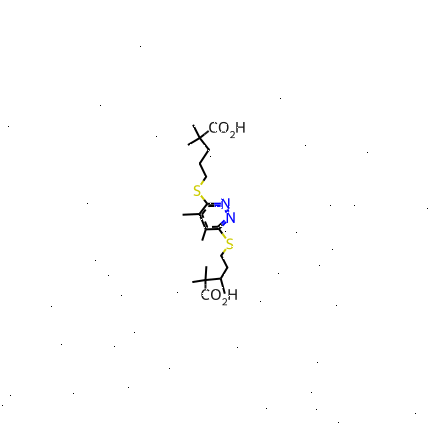 Cc1c(SCCCC(C)(C)C(=O)O)nnc(SCCC(C)C(C)(C)C(=O)O)c1C